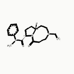 CN(C(=O)[C@@H]1CC[C@@H]2CCN(CC(F)(F)F)CCC(=O)N21)c1ccccc1